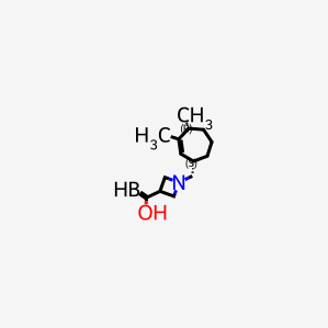 B=C(O)C1CN(C[C@@H]2C=C(C)[C@H](C)CCC2)C1